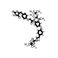 CN(C(=O)OC(C)(C)C)c1cc(Oc2ccc(CCNC(=O)OC(C)(C)C)cc2)ccc1NC(=O)COc1ccc(CC2SC(=O)NC2=O)cc1